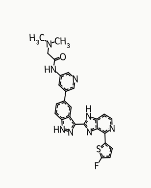 CN(C)CC(=O)Nc1cncc(-c2ccc3[nH]nc(-c4nc5c(-c6ccc(F)s6)nccc5[nH]4)c3c2)c1